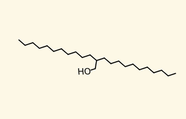 CCCCCCCCCCCC(CO)CCCCCCCCCCC